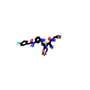 C#CCNC(=O)C(C#N)=c1sc(=CNc2cccc(NC(=O)CC3CCC(F)CC3)c2)c(=O)n1CC